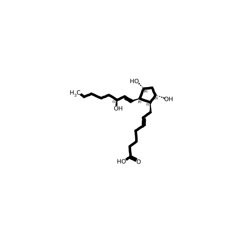 CCCCC[C@H](O)C=C[C@@H]1[C@H](CC=CCCCC(=O)O)[C@@H](O)C[C@H]1O